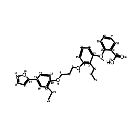 CCCc1c(OCCCOc2ccc(-c3ccno3)cc2CC)cccc1Oc1ccccc1C(=O)O